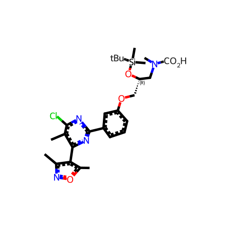 Cc1noc(C)c1-c1nc(-c2cccc(OC[C@@H](CN(C)C(=O)O)O[Si](C)(C)C(C)(C)C)c2)nc(Cl)c1C